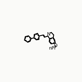 CCCOc1ccc2c(c1)CCN=C2C=Cc1ccc(-c2ccccc2)cc1